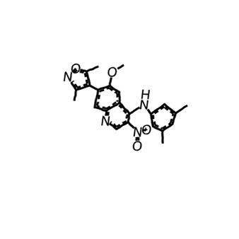 COc1cc2c(Nc3cc(C)cc(C)c3)c([N+](=O)[O-])cnc2cc1-c1c(C)noc1C